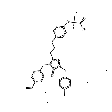 C=Cc1ccc(Cn2c(CCCc3ccc(OC(C)(C)C(=O)O)cc3)nn(Cc3ccc(C)cc3)c2=O)cc1